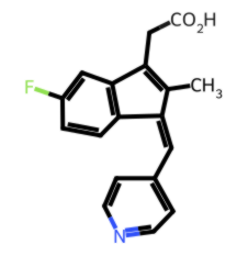 CC1=C(CC(=O)O)c2cc(F)ccc2C1=Cc1ccncc1